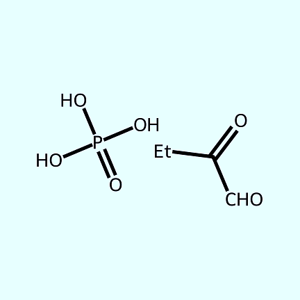 CCC(=O)C=O.O=P(O)(O)O